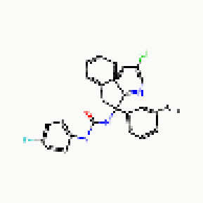 O=C(Nc1ccc(F)cc1)NC(Cc1ccccc1)(c1cccc(C(F)(F)F)c1)c1ccc(Cl)cn1